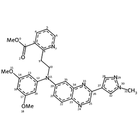 COC(=O)c1cccnc1CCN(c1cc(OC)cc(OC)c1)c1ccc2ncc(-c3cnn(C)c3)nc2c1